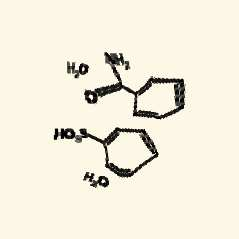 NC(=O)c1ccccc1.O.O.O=S(=O)(O)c1ccccc1